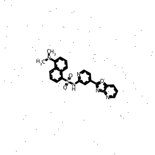 CN(C)c1cccc2c(S(=O)(=O)Nc3cc(-c4nc5ncccc5o4)ccn3)cccc12